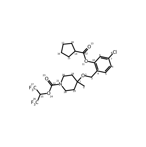 CC1(OCc2ccc(Cl)cc2OC(=O)C2CCCC2)CCN(C(=O)OC(C(F)(F)F)C(F)(F)F)CC1